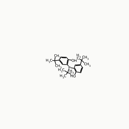 CC(C)(C)c1ccc(O)c(P(c2cc(C(C)(C)C)ccc2O)C(C)(C)C)c1